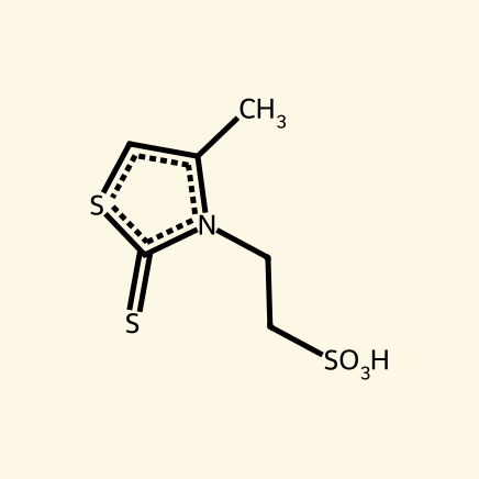 Cc1csc(=S)n1CCS(=O)(=O)O